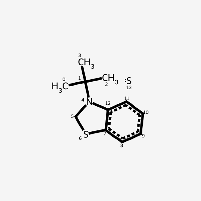 CC(C)(C)N1CSc2ccccc21.[S]